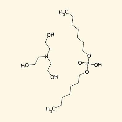 CCCCCCCOP(=O)(O)OCCCCCCC.OCCN(CCO)CCO